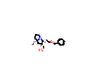 O=C(O)[C@@]12CCCN1[C@H](CCOCc1ccccc1)[C@H](CO)C2